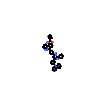 C1=CCC2C(=C1)NC(C1=CCC(C3=CC(c4cccc(N5c6ccccc6C6C=CC=CC65)c4)NC(C4C=CC=CC4)N3)CC1)C1=CCC3OC(c4ccccc4)NC3=C12